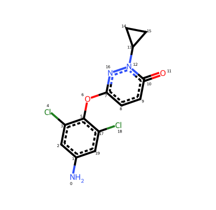 Nc1cc(Cl)c(Oc2ccc(=O)n(C3CC3)n2)c(Cl)c1